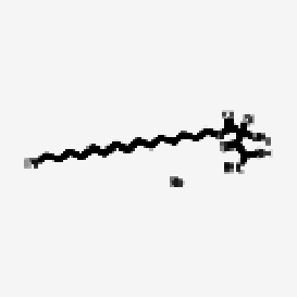 CC(C)CCCCCCCCCCCCCCCOC(=O)C(C)(O)C(=O)C(C)O.[Na]